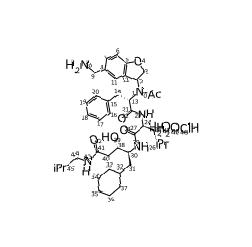 CC(=O)N(C1COc2ccc(CN)cc21)[C@@H](Cc1ccccc1)C(=O)N[C@@H](CC(C)C)C(=O)N[C@@H](CC1CCCCC1)[C@@H](O)CC(=O)NCC(C)C.Cl.O.O